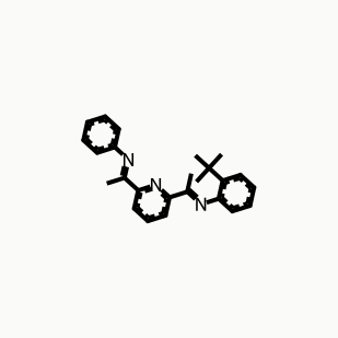 C/C(=N\c1ccccc1)c1cccc(/C(C)=N/c2ccccc2C(C)(C)C)n1